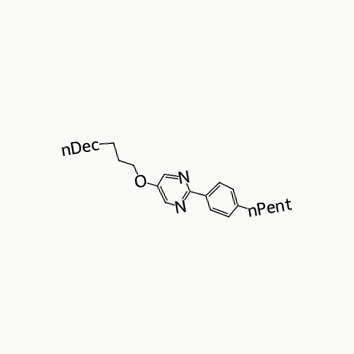 CCCCCCCCCCCCCOc1cnc(-c2ccc(CCCCC)cc2)nc1